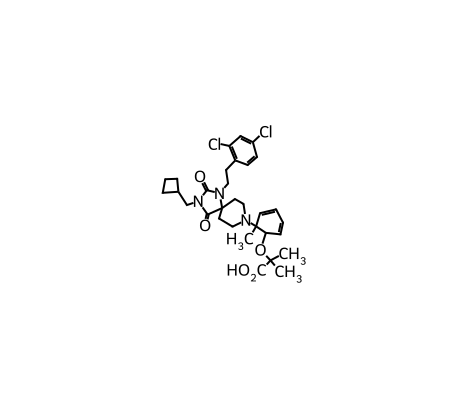 CC(C)(OC1C=CC=CC1(C)N1CCC2(CC1)C(=O)N(CC1CCC1)C(=O)N2CCc1ccc(Cl)cc1Cl)C(=O)O